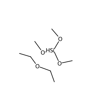 CCOCC.CO[SiH](OC)OC